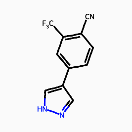 N#Cc1ccc(-c2cn[nH]c2)cc1C(F)(F)F